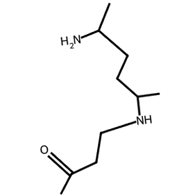 CC(=O)CCNC(C)CCC(C)N